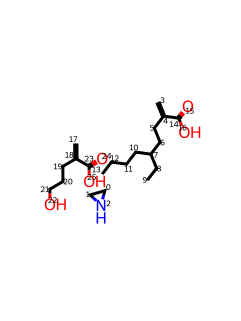 C1CN1.C=C(CCC(CC)CCCC)C(=O)O.C=C(CCCO)C(=O)O